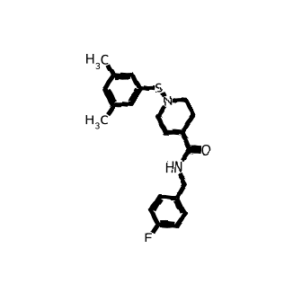 Cc1cc(C)cc(SN2CCC(C(=O)NCc3ccc(F)cc3)CC2)c1